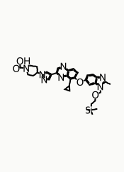 Cc1nc2ccc(Oc3ccc4ncc(-c5cnn(C6CCN(C(=O)O)CC6)c5)nc4c3C3CC3)cc2n1COCC[Si](C)(C)C